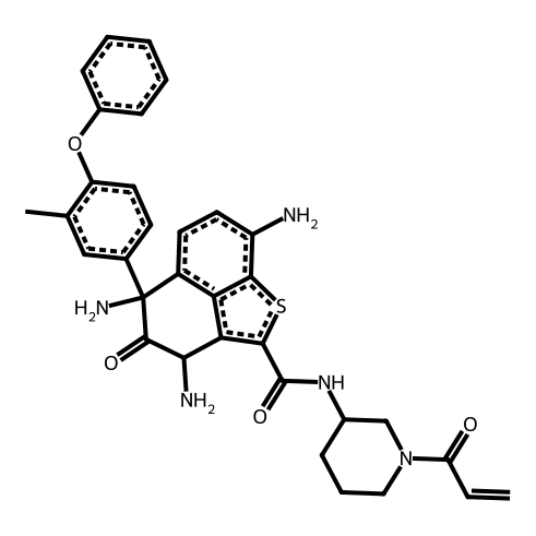 C=CC(=O)N1CCCC(NC(=O)c2sc3c(N)ccc4c3c2C(N)C(=O)C4(N)c2ccc(Oc3ccccc3)c(C)c2)C1